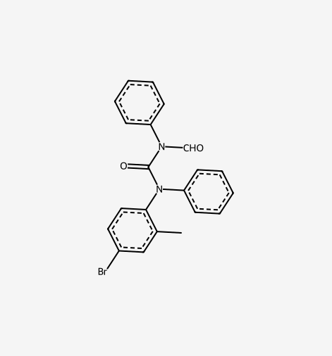 Cc1cc(Br)ccc1N(C(=O)N(C=O)c1ccccc1)c1ccccc1